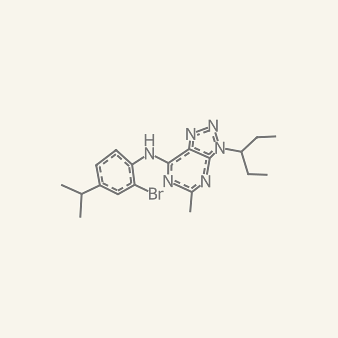 CCC(CC)n1nnc2c(Nc3ccc(C(C)C)cc3Br)nc(C)nc21